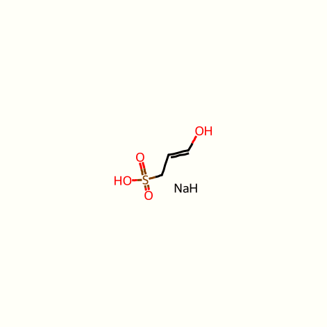 O=S(=O)(O)CC=CO.[NaH]